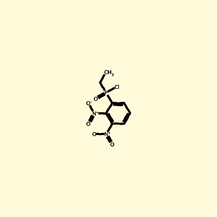 CCP(=O)(Cl)c1cccc([N+](=O)[O-])c1[N+](=O)[O-]